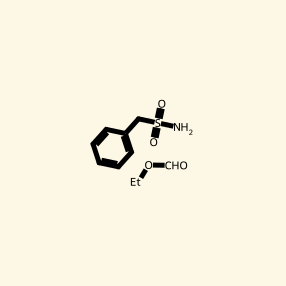 CCOC=O.NS(=O)(=O)Cc1ccccc1